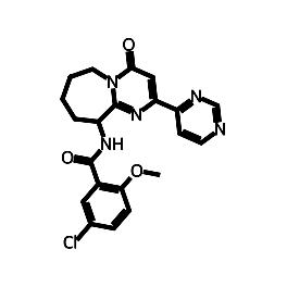 COc1ccc(Cl)cc1C(=O)NC1CCCCn2c1nc(-c1ccncn1)cc2=O